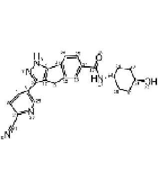 N#Cc1ccc(-c2n[nH]c3c2Cc2cc(C(=O)N[C@H]4CC[C@H](O)CC4)ccc2-3)cn1